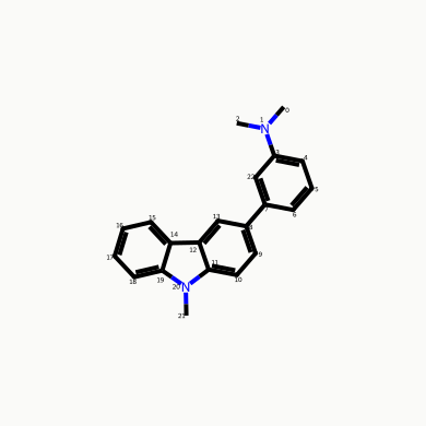 CN(C)c1cccc(-c2ccc3c(c2)c2ccccc2n3C)c1